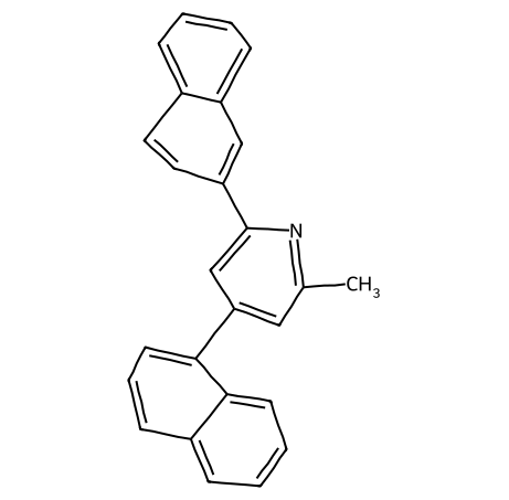 Cc1cc(-c2cccc3ccccc23)cc(-c2ccc3ccccc3c2)n1